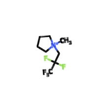 C[N+]1(CC(F)(F)C(F)(F)F)CCCC1